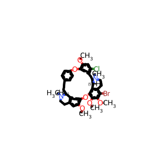 COc1cc(Cl)c2cc1Oc1ccc(cc1)C[C@H]1c3cc(c(OC)cc3CCN1C)Oc1c(OC)c(OC)c(Br)c3c1[C@H](C2)N(C)CC3